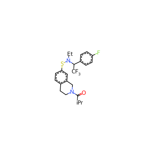 CCN(Sc1ccc2c(c1)CN(C(=O)C(C)C)CC2)C(c1ccc(F)cc1)C(F)(F)F